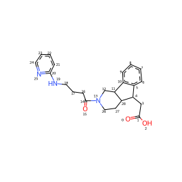 O=C(O)CC1c2ccccc2C2CN(C(=O)CCCNc3ccccn3)CCC12